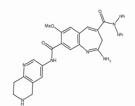 CCCN(CCC)C(=O)C1=Cc2cc(OC)c(C(=O)Nc3cnc4c(c3)CNCC4)cc2N=C(N)C1